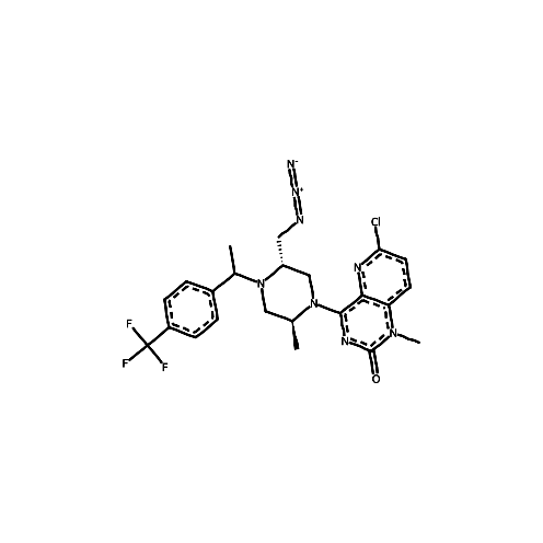 CC(c1ccc(C(F)(F)F)cc1)N1C[C@H](C)N(c2nc(=O)n(C)c3ccc(Cl)nc23)C[C@H]1CN=[N+]=[N-]